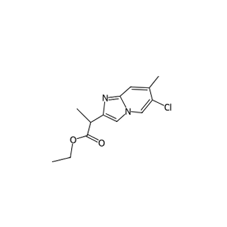 CCOC(=O)C(C)c1cn2cc(Cl)c(C)cc2n1